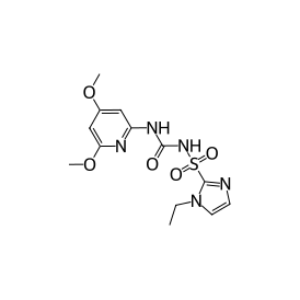 CCn1ccnc1S(=O)(=O)NC(=O)Nc1cc(OC)cc(OC)n1